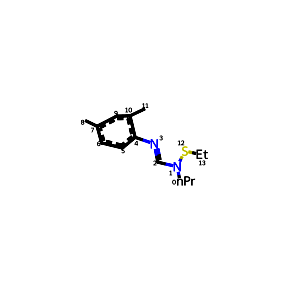 CCCN(C=Nc1ccc(C)cc1C)SCC